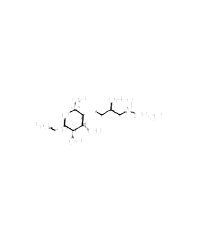 CCCCCCCNCC(O)CO[C@@H]1[C@@H](O)[C@@H](O)[C@@H](CO)O[C@H]1O